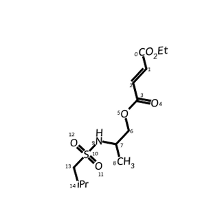 CCOC(=O)/C=C/C(=O)OCC(C)NS(=O)(=O)CC(C)C